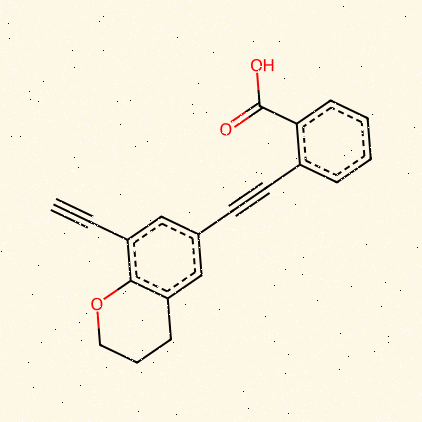 C#Cc1cc(C#Cc2ccccc2C(=O)O)cc2c1OCCC2